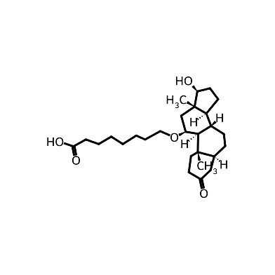 C[C@]12CCC(=O)C[C@@H]1CC[C@@H]1[C@@H]2[C@@H](OCCCCCCCC(=O)O)C[C@]2(C)[C@@H](O)CC[C@@H]12